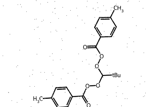 [CH2]C(C)(C)[C](OOC(=O)c1ccc(C)cc1)OOC(=O)c1ccc(C)cc1